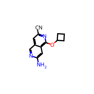 N#Cc1cc2cnc(N)cc2c(OC2CCC2)n1